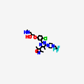 CNC[C@@H](O)COc1ccc(Cl)c(-c2nc(-c3c(C)noc3C)c(C)c(N3CCN(CC(F)(F)F)CC3)n2)c1